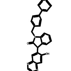 O=C1C(c2cc3nccnc3cc2O)c2ccccc2N1Cc1ccc(-c2ccccc2)cc1